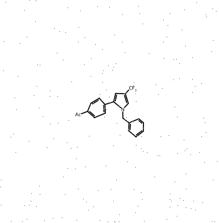 CC(=O)c1ccc(-c2cc(C(F)(F)F)cn2Cc2ccccc2)cc1